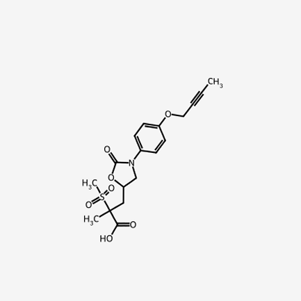 CC#CCOc1ccc(N2CC(CC(C)(C(=O)O)S(C)(=O)=O)OC2=O)cc1